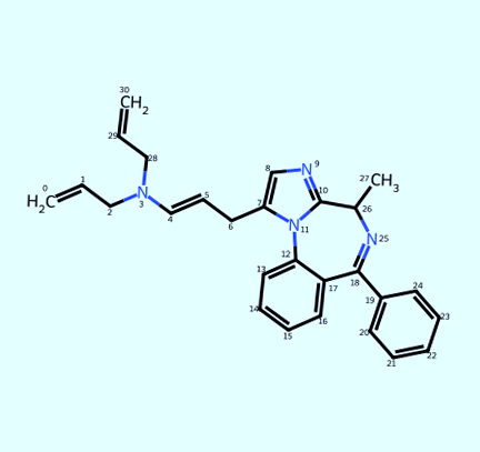 C=CCN(C=CCc1cnc2n1-c1ccccc1C(c1ccccc1)=NC2C)CC=C